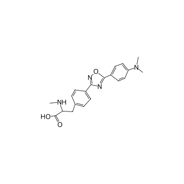 CNC(Cc1ccc(-c2noc(-c3ccc(N(C)C)cc3)n2)cc1)C(=O)O